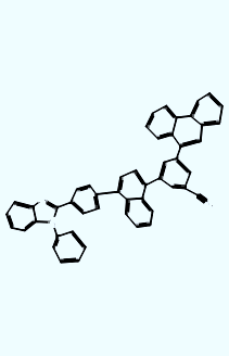 N#Cc1cc(-c2ccc(-c3ccc(-c4nc5ccccc5n4-c4ccccc4)cc3)c3ccccc23)cc(-c2cc3ccccc3c3ccccc23)c1